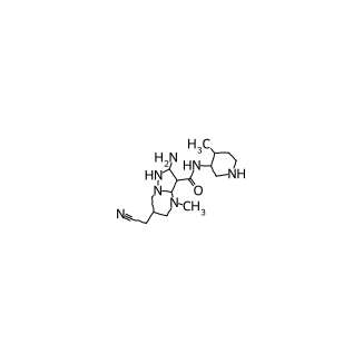 CC1CCNCC1NC(=O)C1C(N)NN2CC(CC#N)CN(C)C12